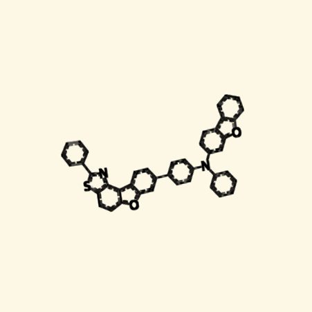 c1ccc(-c2nc3c(ccc4oc5cc(-c6ccc(N(c7ccccc7)c7ccc8c(c7)oc7ccccc78)cc6)ccc5c43)s2)cc1